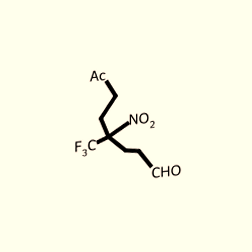 CC(=O)CCC(CCC=O)([N+](=O)[O-])C(F)(F)F